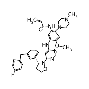 C=CC(=O)Nc1cc(Nc2cc(N3OCC[C@@H]3c3cccc(Cc4ccc(F)cc4)c3)ncn2)c(OC)cc1N1CCN(C)CC1